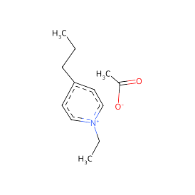 CC(=O)[O-].CCCc1cc[n+](CC)cc1